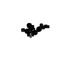 CC(Oc1ccccc1)C(=O)N(Cc1ccc(Cl)cc1)c1cc(N2CCN(C(=O)OC(C)(C)C)CC2)ccc1[N+](=O)[O-]